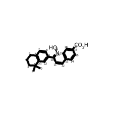 CC1(C)CCCc2ccc(C(/C=C\c3ccc(C(=O)O)cc3)=NO)cc21